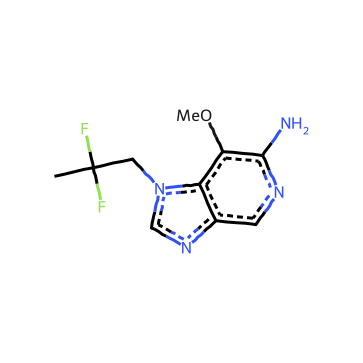 COc1c(N)ncc2ncn(CC(C)(F)F)c12